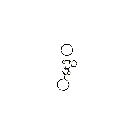 O=C(C1CCCCCCCC1)N1CCC[C@H]1c1ncc(C2CCCCCCCC2)o1